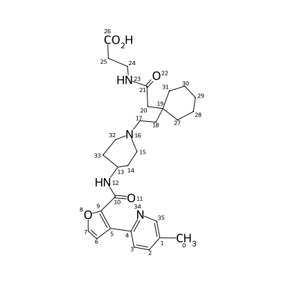 Cc1ccc(-c2ccoc2C(=O)NC2CCN(CCC3(CC(=O)NCCC(=O)O)CCCCC3)CC2)nc1